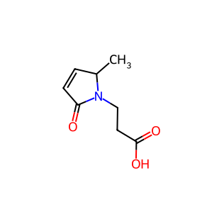 CC1C=CC(=O)N1CCC(=O)O